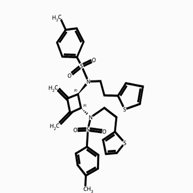 C=C1C(=C)[C@@H](N(CCc2cccs2)S(=O)(=O)c2ccc(C)cc2)[C@@H]1N(CCc1cccs1)S(=O)(=O)c1ccc(C)cc1